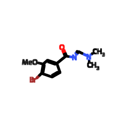 COc1cc(C(=O)N=CN(C)C)ccc1Br